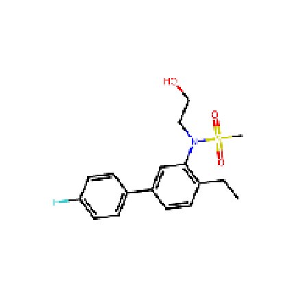 CCc1ccc(-c2ccc(F)cc2)cc1N(CCO)S(C)(=O)=O